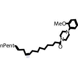 CCCCCC=CC/C=C\CCCCCCCC(=O)N1CCN(c2ccccc2OC)CC1